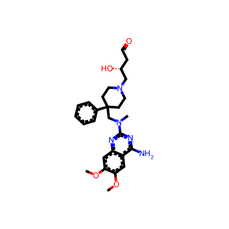 COc1cc2nc(N(C)CC3(c4ccccc4)CCN(C[C@H](O)CC=O)CC3)nc(N)c2cc1OC